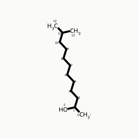 [CH2]C(O)CCCCCCCCC(C)C